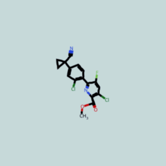 COC(=O)c1nc(-c2ccc(C3(C#N)CC3)cc2Cl)c(F)cc1Cl